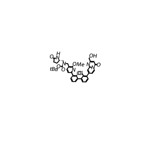 COc1nc(-c2cccc(-c3cccc(-c4ccn5c(=O)cc(CO)nc5c4)c3Cl)c2Cl)ccc1CN(C[C@@H]1CCC(=O)N1)C(=O)OC(C)(C)C